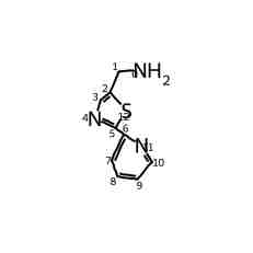 NCc1cnc(-c2ccccn2)s1